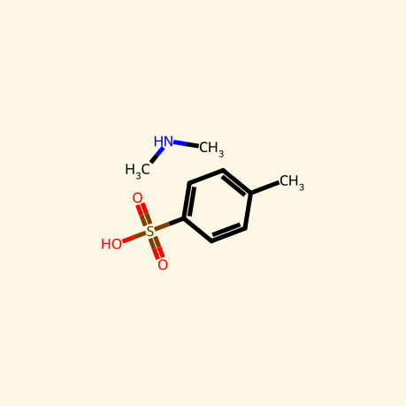 CNC.Cc1ccc(S(=O)(=O)O)cc1